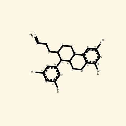 C=CCCC1CCC2c3cc(F)cc(F)c3CCC2C1c1cc(F)cc(F)c1